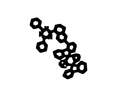 c1ccc(-c2nc(-c3ccccc3)nc(-c3cccc4cc(-c5cccc6c5-c5ccccc5C65c6ccccc6C6(c7ccccc7-c7ccccc76)c6ccccc65)ccc34)n2)cc1